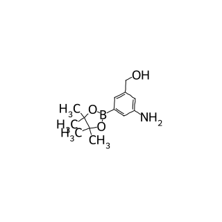 CC1(C)OB(c2cc(N)cc(CO)c2)OC1(C)C